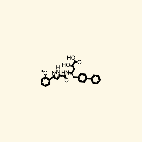 COc1ccccc1-c1cc(C(=O)N[C@H](Cc2ccc(-c3ccccc3)cc2)C[C@@H](O)C(=O)O)[nH]n1